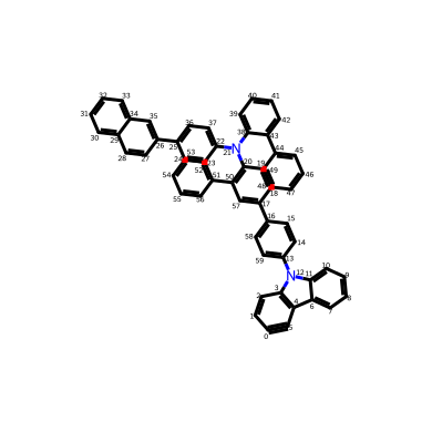 c1ccc2c(c#1)c1ccccc1n2-c1ccc(-c2ccc(N(c3ccc(-c4ccc5ccccc5c4)cc3)c3ccccc3-c3ccccc3)c(-c3ccccc3)c2)cc1